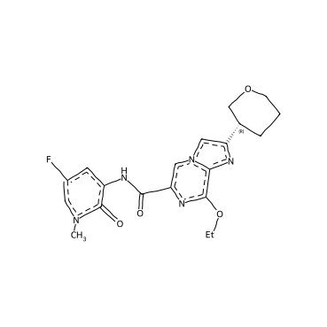 CCOc1nc(C(=O)Nc2cc(F)cn(C)c2=O)cn2cc([C@H]3CCCOC3)nc12